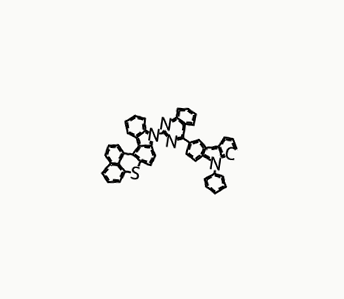 c1ccc(-n2c3ccccc3c3cc(-c4nc(-n5c6ccccc6c6c7c(ccc65)Sc5cccc6cccc-7c56)nc5ccccc45)ccc32)cc1